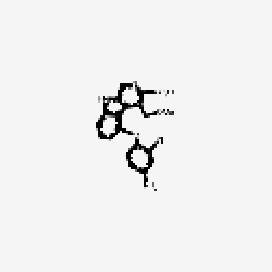 CCOC(=O)c1ncc2[nH]c3cccc(Oc4ccc(N)cc4Cl)c3c2c1COC